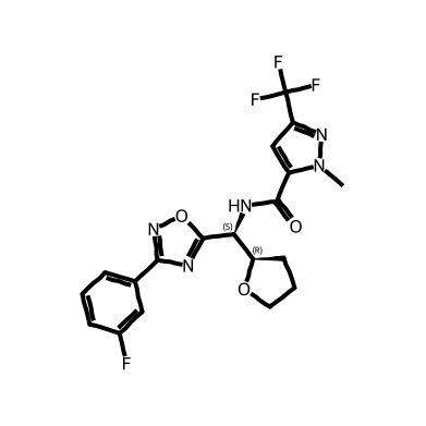 Cn1nc(C(F)(F)F)cc1C(=O)N[C@H](c1nc(-c2cccc(F)c2)no1)[C@H]1CCCO1